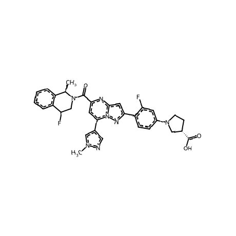 C[C@@H]1c2ccccc2C(F)CN1C(=O)c1cc(-c2cnn(C)c2)n2nc(-c3ccc(N4CC[C@H](C(=O)O)C4)cc3F)cc2n1